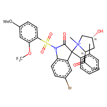 CNC(=O)[C@@H]1C[C@@H](O)C[N+]1(C)C1(c2ccccc2C)C(=O)N(S(=O)(=O)c2ccc(OC)cc2OC(F)(F)F)c2ccc(Br)cc21